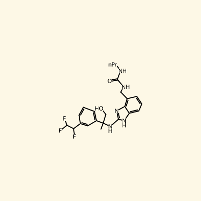 CCCNC(=O)NCc1cccc2[nH]c(NC(C)(CO)c3cccc(C(F)C(F)F)c3)nc12